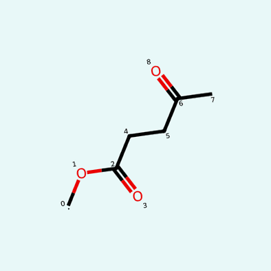 [CH2]OC(=O)CCC(C)=O